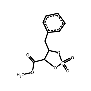 COC(=O)C1OS(=O)(=O)OC1Cc1ccccc1